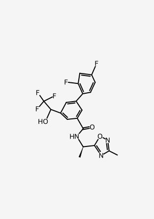 Cc1noc([C@@H](C)NC(=O)c2cc(-c3ccc(F)cc3F)cc(C(O)C(F)(F)F)c2)n1